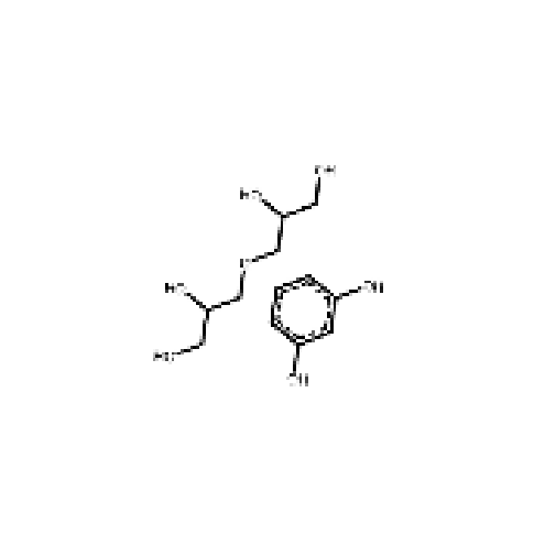 OCC(O)COCC(O)CO.Oc1cccc(O)c1